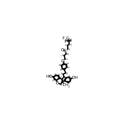 CC1(c2ccc(O)cc2)COc2cc(O)ccc2C1CCCc1ccc(OCCC[S+]([O-])CCCC(F)(F)C(F)(F)F)cc1